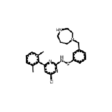 Cc1cccc(C)c1-c1cc(Cl)nc(NSc2cccc(CN3CCCNCC3)c2)n1